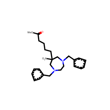 COC(=O)CCCCC1([N+](=O)[O-])CN(Cc2ccccc2)CCN(Cc2ccccc2)C1